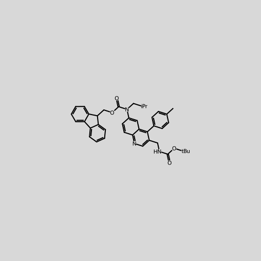 Cc1ccc(-c2c(CNC(=O)OC(C)(C)C)cnc3ccc(N(CC(C)C)C(=O)OCC4c5ccccc5-c5ccccc54)cc23)cc1